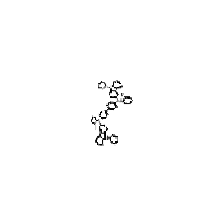 Fc1ccccc1N(c1ccc(-c2ccc(N(c3ccc4c(c3)c3ccccc3n4-c3ccccc3)c3ccccc3F)cc2)cc1)c1ccc2c(c1)c1ccccc1n2-c1ccccc1